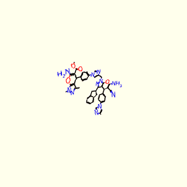 COC(=O)C1=C(N)Oc2c(c(C)nn2C)C1c1ccc(-n2cnc(Cn3nc(C4Cc5ccccc5C4)c4c3OC(N)=C(C#N)C4c3ccc(-n4ccnc4)cc3)c2)cc1